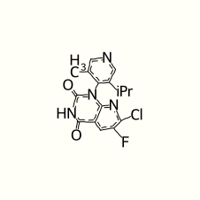 Cc1cncc(C(C)C)c1-n1c(=O)[nH]c(=O)c2cc(F)c(Cl)nc21